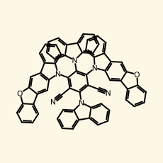 N#Cc1c(-n2c3ccccc3c3ccccc32)c(C#N)c(-n2c3ccccc3c3cc4oc5ccccc5c4cc32)c(-n2c3ccccc3c3ccccc32)c1-n1c2ccccc2c2cc3oc4ccccc4c3cc21